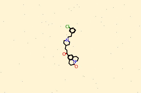 O=C(CCC1CCN(CCc2cccc(Cl)c2)CC1)c1cc2c3c(c1)CCC(=O)N3CCC2